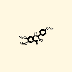 COc1ccc(C2Nc3cc(OC)c(OC)cc3C(C)=[N+]2[O-])cc1